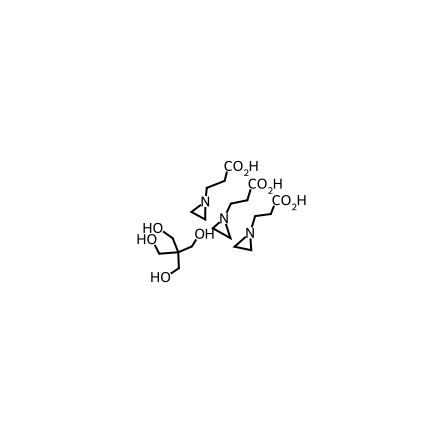 O=C(O)CCN1CC1.O=C(O)CCN1CC1.O=C(O)CCN1CC1.OCC(CO)(CO)CO